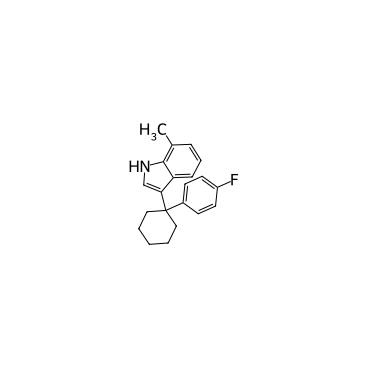 Cc1cccc2c(C3(c4ccc(F)cc4)CCCCC3)c[nH]c12